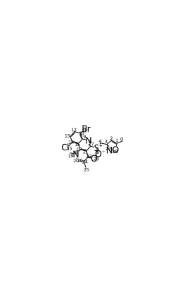 Cc1cc(C[S+]([O-])c2nc3c(Br)ccc(Cl)c3c(N(C)C)c2C(=O)C(C)C)no1